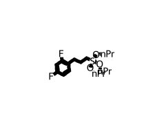 CCCO[Si](CCCc1ccc(F)cc1F)(OCCC)OCCC